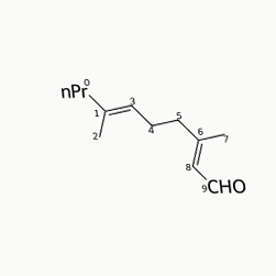 CCCC(C)=CCCC(C)=CC=O